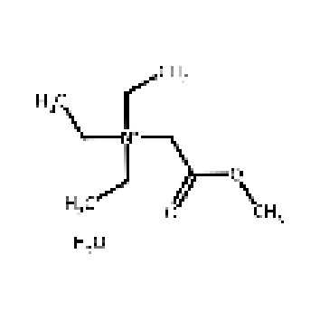 CC[N+](CC)(CC)CC(=O)OC.O